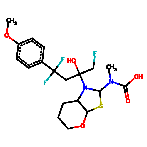 COc1ccc(C(F)(F)CC(O)(CF)N2C3CCCOC3SC2N(C)C(=O)O)cc1